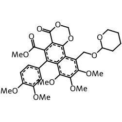 COC(=O)c1c2c(c3c(COC4CCCCO4)c(OC)c(OC)c(OC)c3c1-c1ccc(OC)c(OC)c1)OCOC2=O